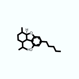 CCCCCc1cc(O)c2c(c1)O[C@@H]1C(C)CCC(C(C)C)C21